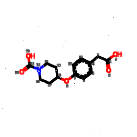 O=C(O)Cc1ccc(OC2CCN(C(=O)O)CC2)cc1